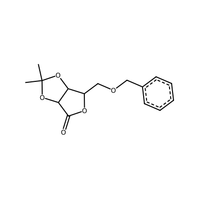 CC1(C)OC2C(=O)OC(COCc3ccccc3)C2O1